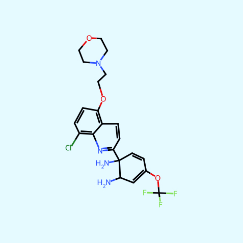 NC1C=C(OC(F)(F)F)C=CC1(N)c1ccc2c(OCCN3CCOCC3)ccc(Cl)c2n1